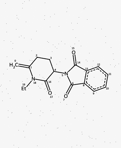 C=C1CCC(N2C(=O)c3ccccc3C2=O)C(=O)N1CC